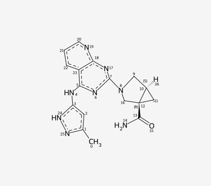 Cc1cc(Nc2nc(N3C[C@H]4[CH][C@]4(C(N)=O)C3)nc3ncccc23)[nH]n1